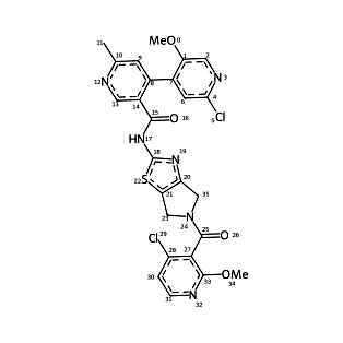 COc1cnc(Cl)cc1-c1cc(C)ncc1C(=O)Nc1nc2c(s1)CN(C(=O)c1c(Cl)ccnc1OC)C2